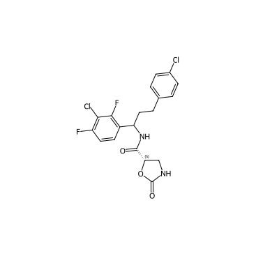 O=C1NC[C@@H](C(=O)NC(CCc2ccc(Cl)cc2)c2ccc(F)c(Cl)c2F)O1